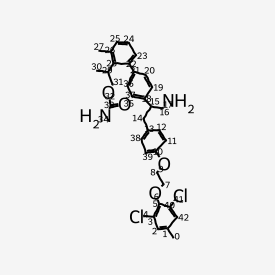 Cc1cc(Cl)c(OCCOc2ccc(CC(CN)c3ccc(-c4cccc(C)c4C(C)COC(N)=O)cc3)cc2)c(Cl)c1